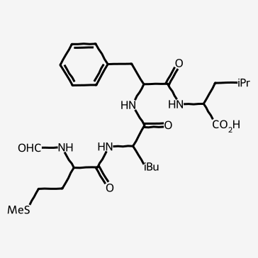 CCC(C)C(NC(=O)C(CCSC)NC=O)C(=O)NC(Cc1ccccc1)C(=O)NC(CC(C)C)C(=O)O